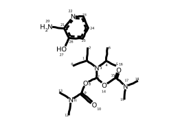 CC(C)N(C(C)C)C(OC(=O)N(C)C)OC(=O)N(C)C.Nc1ncccc1O